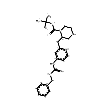 CC(C)(C)OC(=O)N1CCOCC1Cc1cc(NC(=O)OCc2ccccc2)ccn1